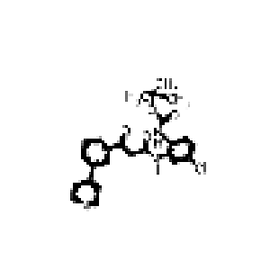 CC(C)(C)OC(=O)Nc1ccc(Cl)cc1NC(=O)CC(=O)c1cccc(-c2ccncc2)c1